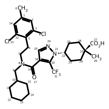 Cc1cc(Cl)c(CCN(CC2CCCCC2)C(=O)c2cnn([C@H]3CC[C@](C)(C(=O)O)CC3)c2C(F)(F)F)c(Cl)c1